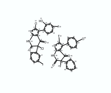 Cc1cccc(C2(Cl)C(=O)Nc3sc(Cl)c(-c4ccc(F)cc4O)c3C2=O)c1.O=C1Nc2sc(F)c(-c3ccc(Cl)cc3)c2C(=O)C1(F)c1ccccc1